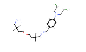 CC(C)(CN)CCOCCC(C)(C)CNCc1ccc(N(CCCl)CCCl)cc1